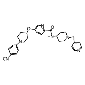 [C-]#[N+]c1ccc(N2CCC(Oc3ccc(C(=O)NC4CCN(Cc5ccncc5)CC4)nc3)CC2)cc1